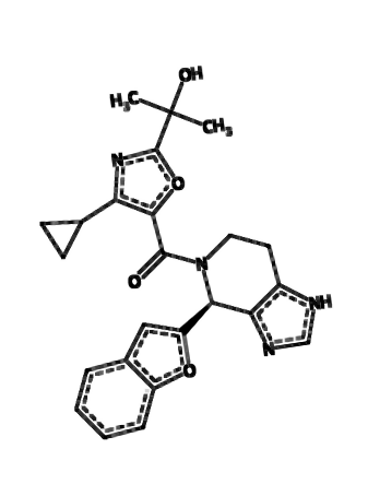 CC(C)(O)c1nc(C2CC2)c(C(=O)N2CCc3[nH]cnc3[C@H]2c2cc3ccccc3o2)o1